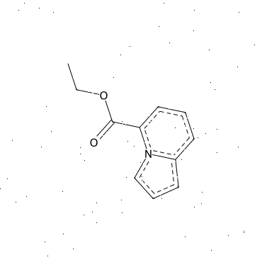 CCOC(=O)c1cccc2cccn12